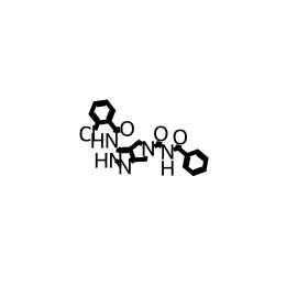 O=C(NC(=O)N1Cc2n[nH]c(NC(=O)c3ccccc3Cl)c2C1)c1ccccc1